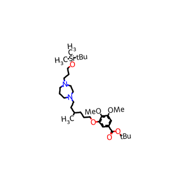 COc1cc(C(=O)OC(C)(C)C)cc(OCCCC(C)CCN2CCCN(CCCO[Si](C)(C)C(C)(C)C)CC2)c1OC